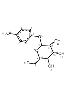 Cc1ccc(OC2O[C@H](CF)C(O)[C@H](O)[C@@H]2O)cc1